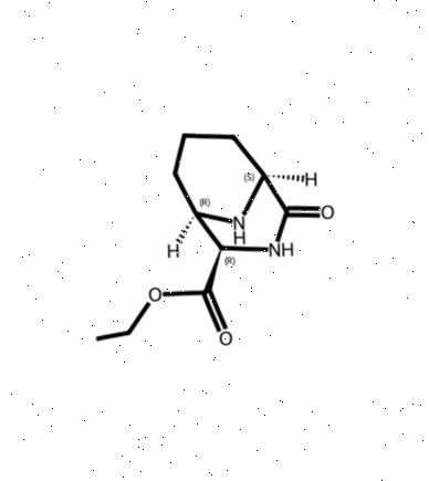 CCOC(=O)[C@@H]1NC(=O)[C@@H]2CCC[C@H]1N2